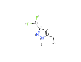 [CH2]Cc1cc(C(F)F)nn1C